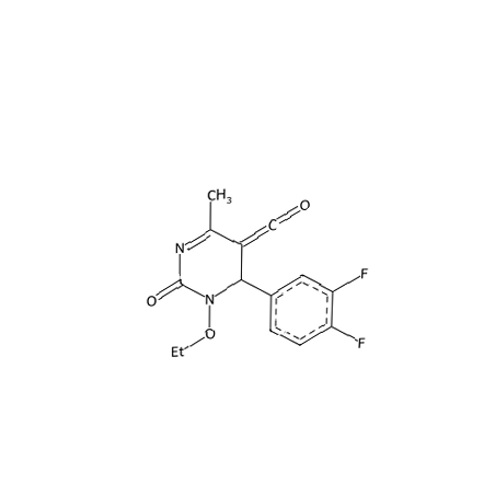 CCON1C(=O)N=C(C)C(=C=O)C1c1ccc(F)c(F)c1